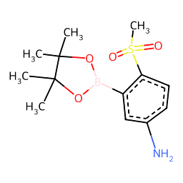 CC1(C)OB(c2cc(N)ccc2S(C)(=O)=O)OC1(C)C